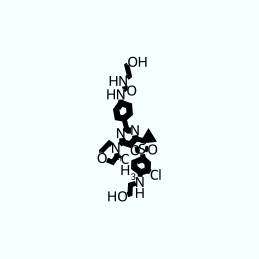 C[C@H]1COCCN1c1cc(C2(S(=O)(=O)c3ccc(NCCO)c(Cl)c3)CC2)nc(-c2ccc(NC(=O)NCCO)cc2)n1